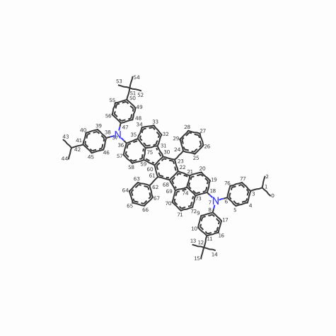 CC(C)c1ccc(N(c2ccc(C(C)(C)C)cc2)c2ccc3c4c(-c5ccccc5)c5c6cccc7c(N(c8ccc(C(C)C)cc8)c8ccc(C(C)(C)C)cc8)ccc(c5c(-c5ccccc5)c4c4cccc2c43)c76)cc1